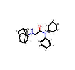 O=C(CNC12CC3CC(CC(C3)C1)C2)N(c1ccccc1)C1CCCCC1